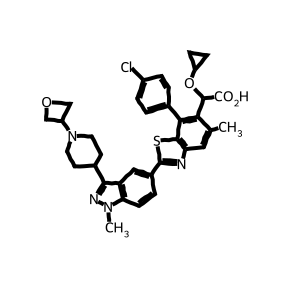 Cc1cc2nc(-c3ccc4c(c3)c(C3CCN(C5COC5)CC3)nn4C)sc2c(-c2ccc(Cl)cc2)c1C(OC1CC1)C(=O)O